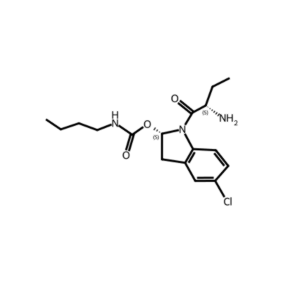 CCCCNC(=O)O[C@H]1Cc2cc(Cl)ccc2N1C(=O)[C@@H](N)CC